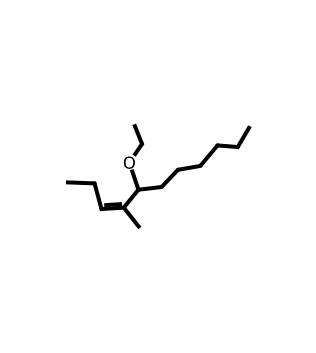 CCC=C(C)C(CCCCCC)OCC